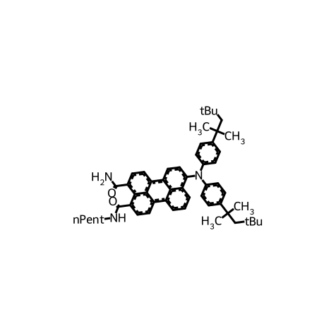 CCCCCNC(=O)c1ccc2c3cccc4c(N(c5ccc(C(C)(C)CC(C)(C)C)cc5)c5ccc(C(C)(C)CC(C)(C)C)cc5)ccc(c5ccc(C(N)=O)c1c52)c43